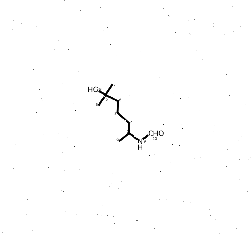 CC(CCCC(C)(C)O)NC=O